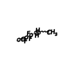 CCCCCCC1CC[C@@H]2C[C@H](c3cc(F)c(-c4ccc(OCc5ccccc5)c(F)c4)c(F)c3)CC[C@@H]2C1